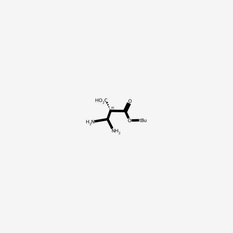 CC(C)(C)OC(=O)[C@@H](C(=O)O)C(N)N